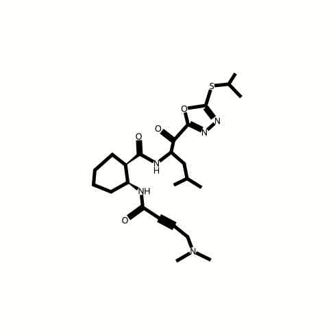 CC(C)CC(NC(=O)[C@@H]1CCCC[C@@H]1NC(=O)C#CCN(C)C)C(=O)c1nnc(SC(C)C)o1